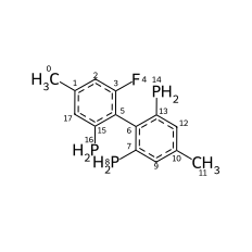 Cc1cc(F)c(-c2c(P)cc(C)cc2P)c(P)c1